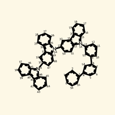 c1ccc(-c2cccc(-c3cccc(-n4c5ccccc5c5cc(-n6c7ccccc7c7cc(-n8c9ccccc9c9ccccc98)ccc76)ccc54)c3)c2)cc1